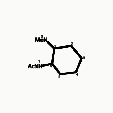 CNC1CCCCC1NC(C)=O